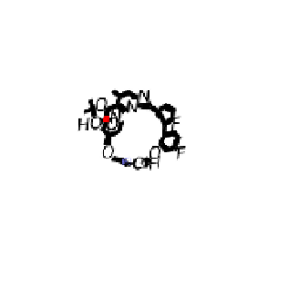 Cc1cc2nc3cn2c(c1[C@H](OC(C)(C)C)C(=O)O)N1CCC(C)(CC1)OC/C=C/C[C@H](C)Oc1cc(F)cc(F)c1-c1cccc-3c1